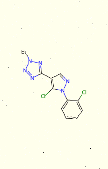 CCn1nnc(-c2cnn(-c3ccccc3Cl)c2Cl)n1